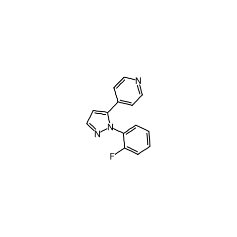 Fc1ccccc1-n1nccc1-c1ccncc1